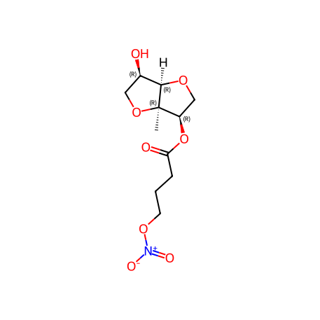 C[C@]12OC[C@@H](O)[C@H]1OC[C@H]2OC(=O)CCCO[N+](=O)[O-]